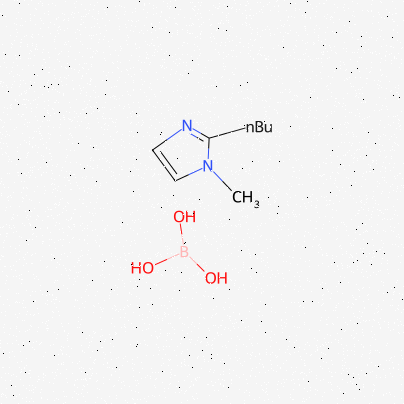 CCCCc1nccn1C.OB(O)O